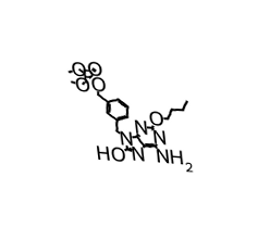 CCCCOc1nc(N)c2nc(O)n(Cc3cccc(COP(=O)(OC)OC)c3)c2n1